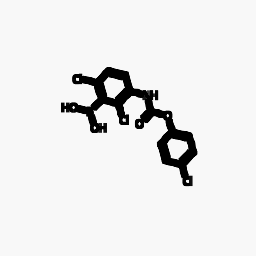 O=C(Nc1ccc(Cl)c(B(O)O)c1Cl)Oc1ccc(Cl)cc1